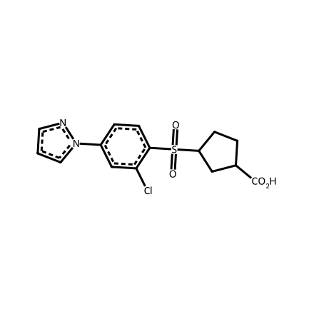 O=C(O)C1CCC(S(=O)(=O)c2ccc(-n3cccn3)cc2Cl)C1